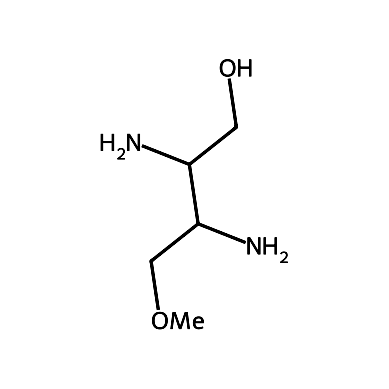 COCC(N)C(N)CO